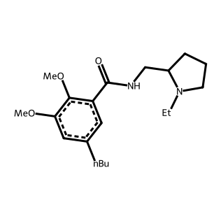 CCCCc1cc(OC)c(OC)c(C(=O)NCC2CCCN2CC)c1